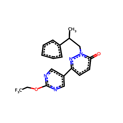 CC(Cn1nc(-c2cnc(OCC(F)(F)F)nc2)ccc1=O)c1ccccc1